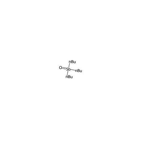 CCC[CH2][Sb](=[O])([CH2]CCC)[CH2]CCC